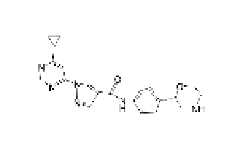 O=C(Nc1ccc([C@H]2CNCCO2)cc1)c1cnn(-c2cc(C3CC3)ncn2)c1